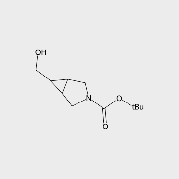 CC(C)(C)OC(=O)N1CC2C(CO)C2C1